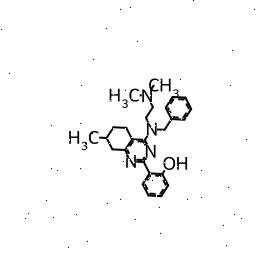 CC1CCc2c(nc(-c3ccccc3O)nc2N(CCN(C)C)Cc2ccccc2)C1